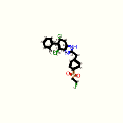 O=S(=O)(CCF)c1ccc(Cc2nc3c([nH]2)CC(Cl)C(c2ccccc2C(F)(F)F)=C3Cl)cc1